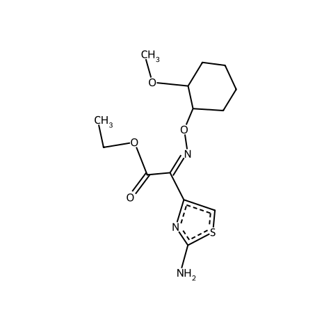 CCOC(=O)C(=NOC1CCCCC1OC)c1csc(N)n1